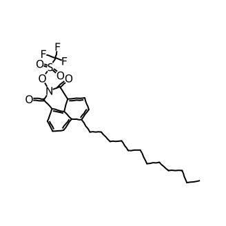 CCCCCCCCCCCCc1ccc2c3c(cccc13)C(=O)N(OS(=O)(=O)C(F)(F)F)C2=O